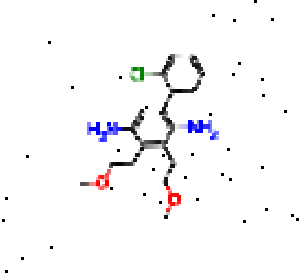 COCCc1c(N)cc(-c2ccccc2Cl)c(N)c1CCOC